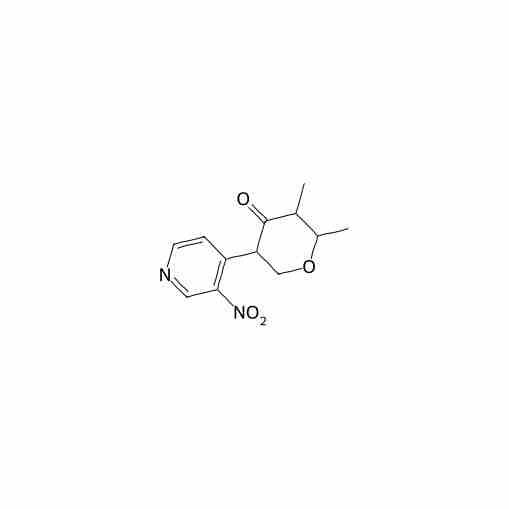 CC1OCC(c2ccncc2[N+](=O)[O-])C(=O)C1C